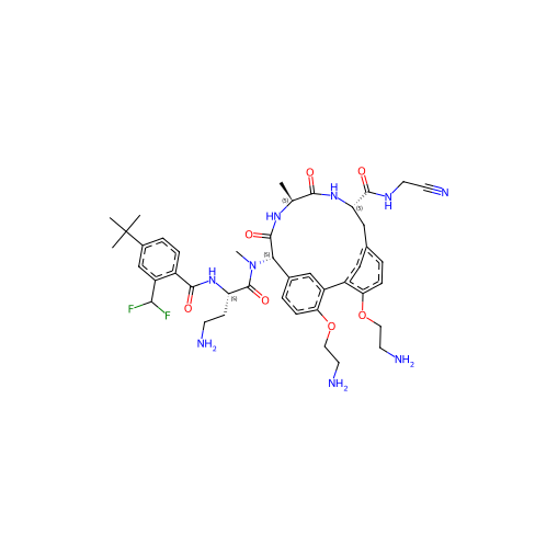 C[C@@H]1NC(=O)[C@@H](N(C)C(=O)[C@H](CCN)NC(=O)c2ccc(C(C)(C)C)cc2C(F)F)c2ccc(OCCN)c(c2)-c2cc(ccc2OCCN)C[C@@H](C(=O)NCC#N)NC1=O